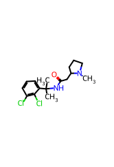 CN1CCCC1CC(=O)NC(C)(C)c1cccc(Cl)c1Cl